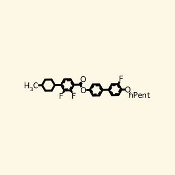 CCCCCOc1ccc(-c2ccc(OC(=O)c3ccc(C4CCC(C)CC4)c(F)c3F)cc2)cc1F